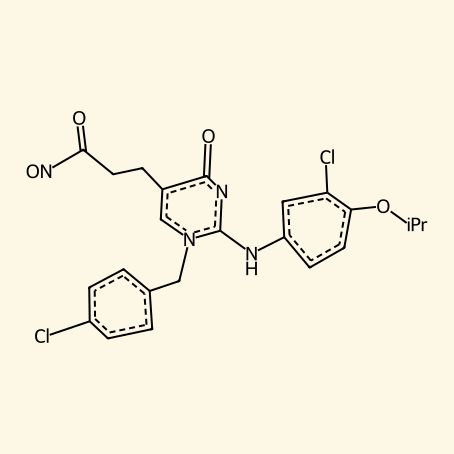 CC(C)Oc1ccc(Nc2nc(=O)c(CCC(=O)N=O)cn2Cc2ccc(Cl)cc2)cc1Cl